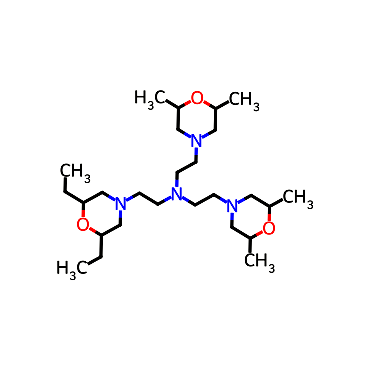 CCC1CN(CCN(CCN2CC(C)OC(C)C2)CCN2CC(C)OC(C)C2)CC(CC)O1